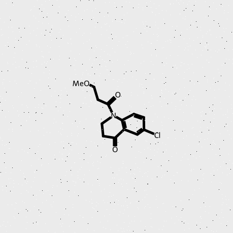 COCCC(=O)N1CCC(=O)c2cc(Cl)ccc21